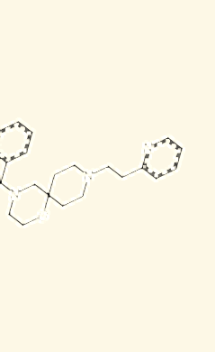 c1ccc(CN2CCOC3(CCN(CCc4ccccn4)CC3)C2)cc1